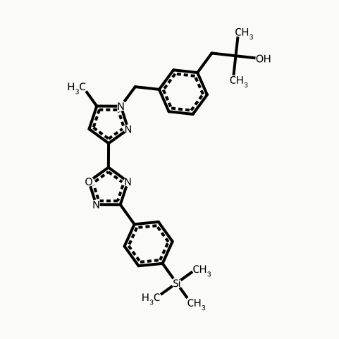 Cc1cc(-c2nc(-c3ccc([Si](C)(C)C)cc3)no2)nn1Cc1cccc(CC(C)(C)O)c1